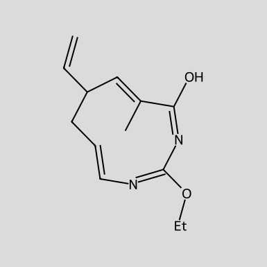 C=CC1/C=C(C)/C(O)=N\C(OCC)=N/C=C/C1